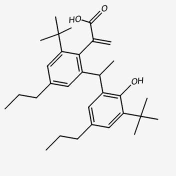 C=C(C(=O)O)c1c(C(C)c2cc(CCC)cc(C(C)(C)C)c2O)cc(CCC)cc1C(C)(C)C